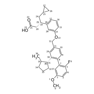 COc1ccc(F)c(-c2ccc(COc3cccc([C@H](CC(=O)O)CC4CC4)c3)cc2[C@@H]2CCCC2C)c1